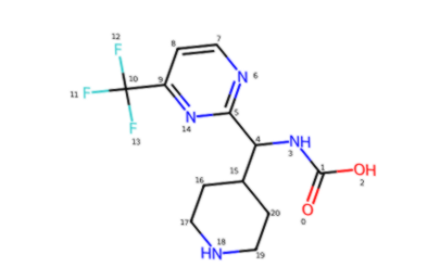 O=C(O)NC(c1nccc(C(F)(F)F)n1)C1CCNCC1